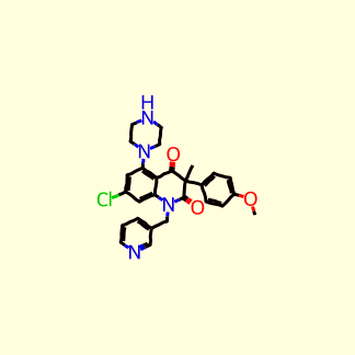 COc1ccc(C2(C)C(=O)c3c(N4CCNCC4)cc(Cl)cc3N(Cc3cccnc3)C2=O)cc1